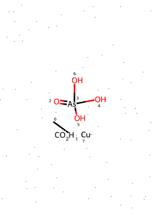 CC(=O)O.O=[As](O)(O)O.[Cu]